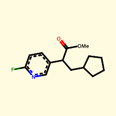 COC(=O)C(CC1CCCC1)c1ccc(F)nc1